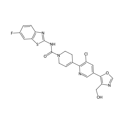 O=C(Nc1nc2ccc(F)cc2s1)N1CC=C(c2ncc(-c3ocnc3CO)cc2Cl)CC1